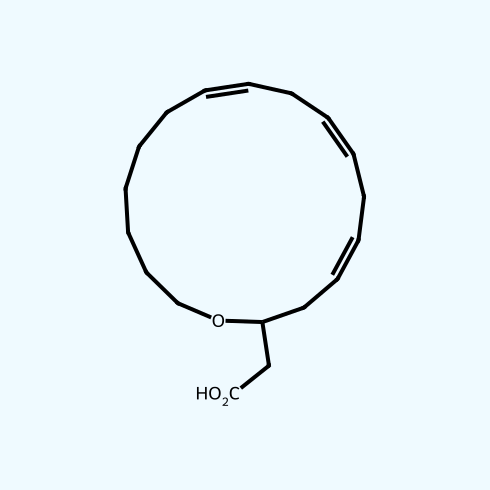 O=C(O)CC1CC=CCC=CCC=CCCCCCCO1